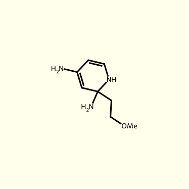 COCCC1(N)C=C(N)C=CN1